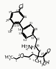 CCOCCC(C)(C[C@H](N)Cc1ccc(-c2cc(Cl)ccc2F)cc1)C(=O)O